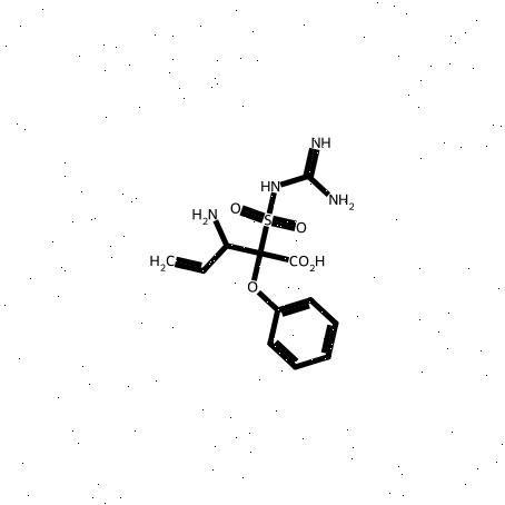 C=CC(N)C(Oc1ccccc1)(C(=O)O)S(=O)(=O)NC(=N)N